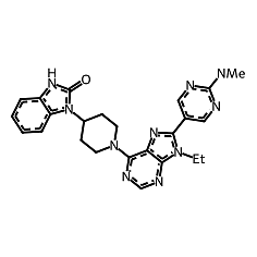 CCn1c(-c2cnc(NC)nc2)nc2c(N3CCC(n4c(=O)[nH]c5ccccc54)CC3)ncnc21